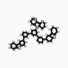 c1cc(-c2cc(-c3cccc(-c4ccc5oc6ccccc6c5c4)c3)cc(-n3c4cccnc4c4ncccc43)c2)cc(-c2ccc3oc4ccccc4c3c2)c1